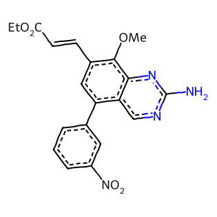 CCOC(=O)/C=C/c1cc(-c2cccc([N+](=O)[O-])c2)c2cnc(N)nc2c1OC